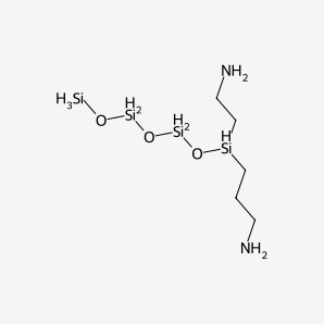 NCCC[SiH](CCN)O[SiH2]O[SiH2]O[SiH3]